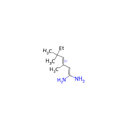 CCC(C)(C)/C=C(\C)C=C(N)N